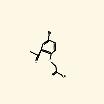 CC(=O)c1cc(Br)ccc1OCC(=O)O